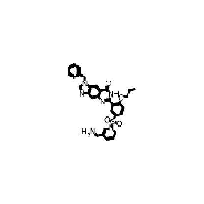 CCCOc1ccc(S(=O)(=O)N2C=C(CN)C=CC2)cc1-c1nc2cc3ncn(Cc4ccccc4)c3cc2c(=O)[nH]1